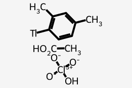 CC(=O)O.Cc1cc[c]([Tl])c(C)c1.[O-][Cl+3]([O-])([O-])O